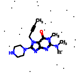 CC#CCn1c(N2CCNCC2)nc2nc(N(C)CC)n(C)c(=O)c21